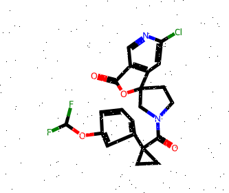 O=C1OC2(CCN(C(=O)C3(c4cccc(OC(F)F)c4)CC3)C2)c2cc(Cl)ncc21